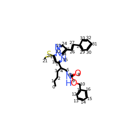 CCCCC(CNC(=O)OCc1ccccc1)c1cc(SC)n2ncc(/C=C/c3ccccc3)c2n1